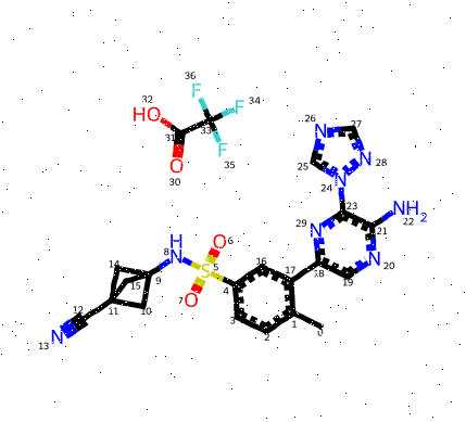 Cc1ccc(S(=O)(=O)NC23CC(C#N)(C2)C3)cc1-c1cnc(N)c(-n2cncn2)n1.O=C(O)C(F)(F)F